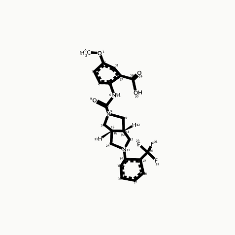 COc1ccc(NC(=O)N2C[C@@H]3CN(c4ccccc4C(F)(F)F)C[C@@H]3C2)c(C(=O)O)c1